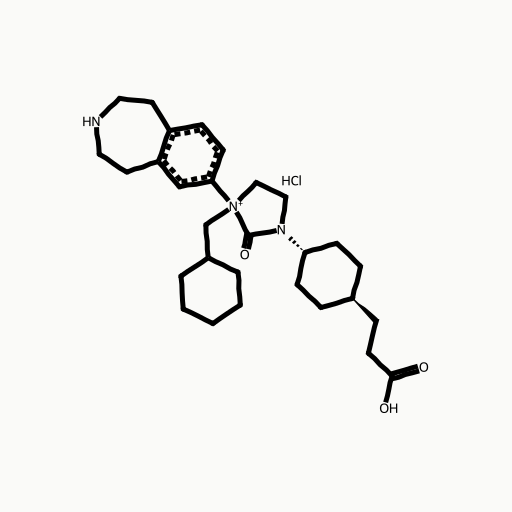 Cl.O=C(O)CC[C@H]1CC[C@H](N2CC[N+](CC3CCCCC3)(c3ccc4c(c3)CCNCC4)C2=O)CC1